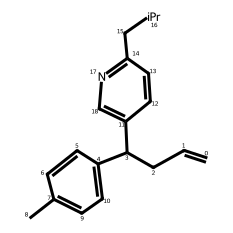 C=CCC(c1ccc(C)cc1)c1ccc(CC(C)C)nc1